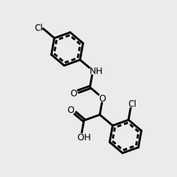 O=C(Nc1ccc(Cl)cc1)OC(C(=O)O)c1ccccc1Cl